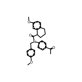 COc1ccc(CN(C(=O)C2CCCc3ccc(OC)cc32)c2ccc(C(C)=O)cc2)cc1